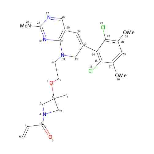 C=CC(=O)N1CC(C)(OCCN2CC(c3c(Cl)c(OC)cc(OC)c3Cl)=Cc3cnc(NC)nc32)C1